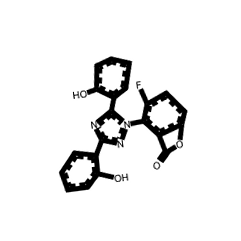 O=C1Oc2ccc(F)c(-n3nc(-c4ccccc4O)nc3-c3ccccc3O)c21